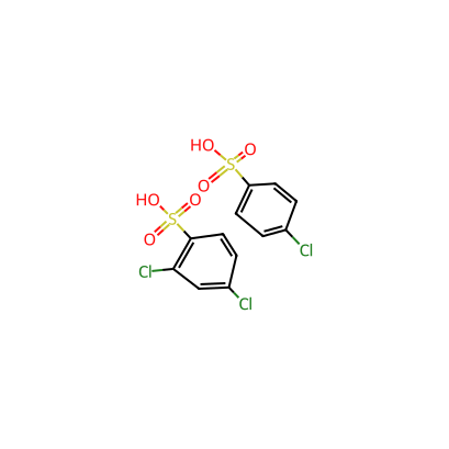 O=S(=O)(O)c1ccc(Cl)cc1.O=S(=O)(O)c1ccc(Cl)cc1Cl